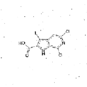 O=C(O)c1[nH]c2c(Cl)nc(Cl)cc2c1I